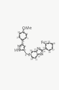 COc1ccc(-c2cc(Cn3ccc4nc(-c5ccccc5F)nc-4c3)[nH]n2)cc1